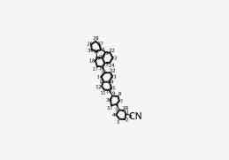 N#Cc1cccc(-c2ccc(-c3ccc4cc(-c5ccc6c7c(cccc57)-c5ccccc5-6)ccc4c3)cc2)c1